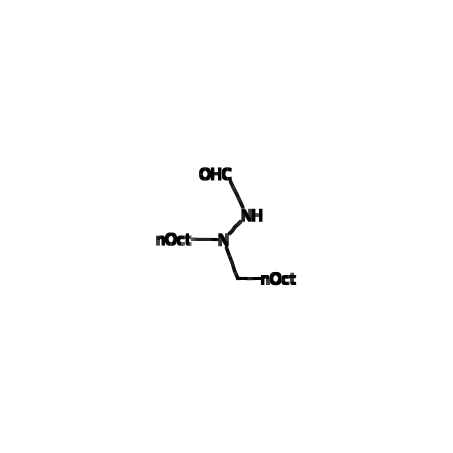 CCCCCCCCCN(CCCCCCCC)NC=O